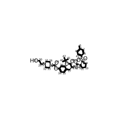 Cc1ccc(S(=O)(=O)N2CCC[C@H]2C(=O)N[C@@H](Cc2ccc(OC(=O)N3CCN(CCO)CC3)cc2)C(=O)OC(C)(C)C)cc1